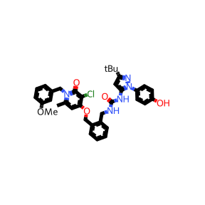 COc1cccc(Cn2c(C)cc(OCc3ccccc3CNC(=O)Nc3cc(C(C)(C)C)nn3-c3ccc(O)cc3)c(Cl)c2=O)c1